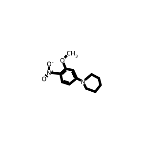 COc1cc(N2CCCCC2)ccc1[N+](=O)[O-]